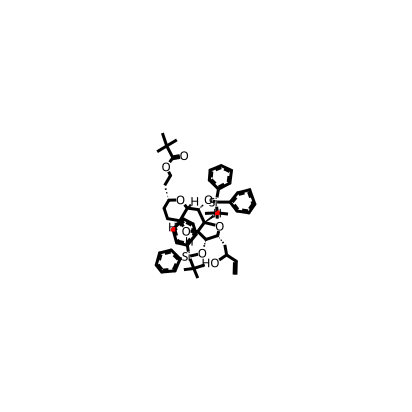 C=CC(O)C[C@H]1O[C@H]2[C@@H](O[Si](c3ccccc3)(c3ccccc3)C(C)(C)C)[C@H]3O[C@@H](CCOC(=O)C(C)(C)C)CC[C@@H]3O[C@H]2[C@H]1O[Si](c1ccccc1)(c1ccccc1)C(C)(C)C